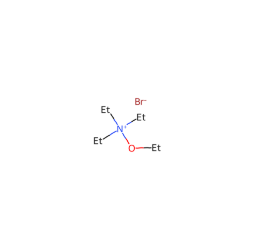 CCO[N+](CC)(CC)CC.[Br-]